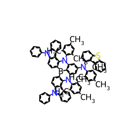 Cc1cc(C)c(N(c2cc3c4c(c2)N(c2c(C)cc(C)cc2C)c2c(ccc5c2c2ccccc2n5-c2ccccc2)B4c2ccc4c(c2N3c2c(C)cc(C)cc2C)c2ccccc2n4-c2ccccc2)c2cccc3sc4ccccc4c23)c(C)c1